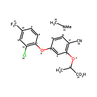 CC(Oc1cc(Oc2ccc(C(F)(F)F)cc2Cl)ccc1C#N)C(=O)O.CNC